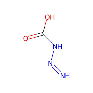 N=NNC(=O)O